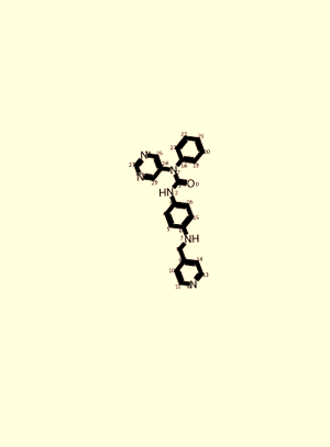 O=C(Nc1ccc(NCc2ccncc2)cc1)N(c1ccccc1)c1cncnc1